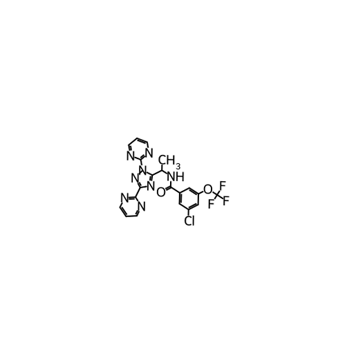 CC(NC(=O)c1cc(Cl)cc(OC(F)(F)F)c1)c1nc(-c2ncccn2)nn1-c1ncccn1